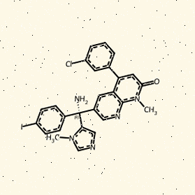 Cn1cncc1[C@@](N)(c1ccc(I)cc1)c1cnc2c(c1)c(-c1cccc(Cl)c1)cc(=O)n2C